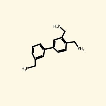 PCc1cccc(-c2ccc(CP)c(CP)c2)c1